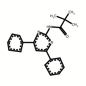 CC(C)(C)C(=O)Nc1nc(-c2ccccc2)cc(-c2ccccc2)n1